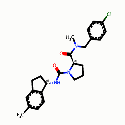 CN(Cc1ccc(Cl)cc1)C(=O)[C@H]1CCCN1C(=O)N[C@H]1CCc2cc(C(F)(F)F)ccc21